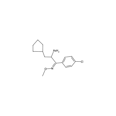 CON=C(c1ccc(Cl)cc1)C([AsH2])CC1CCCC1